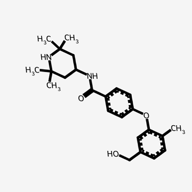 Cc1ccc(CO)cc1Oc1ccc(C(=O)NC2CC(C)(C)NC(C)(C)C2)cc1